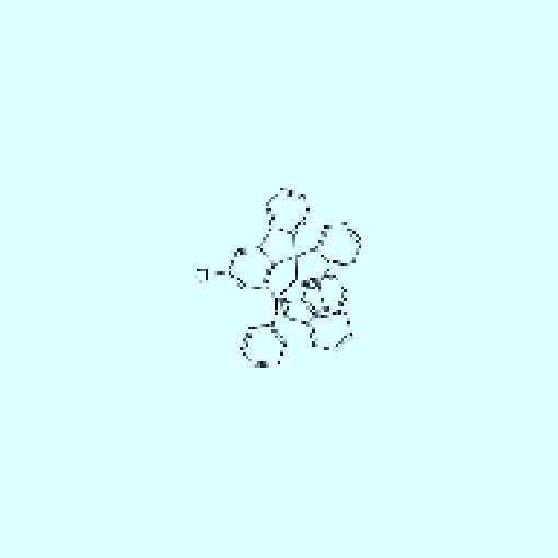 Clc1cc2c(c(N(c3ccccc3)c3ccccc3)c1)C1(c3ccccc3-2)c2ccccc2-c2c1ccc1ccccc21